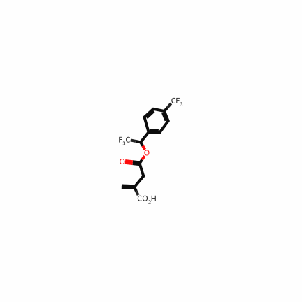 C=C(CC(=O)OC(c1ccc(C(F)(F)F)cc1)C(F)(F)F)C(=O)O